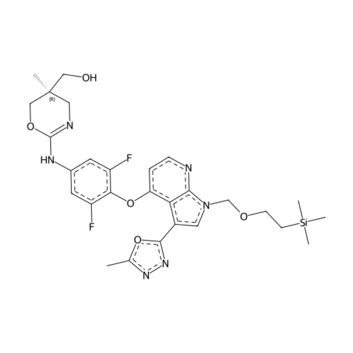 Cc1nnc(-c2cn(COCC[Si](C)(C)C)c3nccc(Oc4c(F)cc(NC5=NC[C@](C)(CO)CO5)cc4F)c23)o1